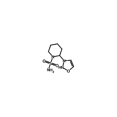 NS(=O)(=O)N1CCCCC1N1C=CON1